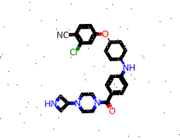 N#Cc1ccc(O[C@H]2CC[C@H](Nc3ccc(C(=O)N4CCN(C5CNC5)CC4)cc3)CC2)cc1Cl